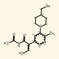 CC(=O)NC(=O)/C(=C\N)c1cc(N2CCC(CO)CC2)c(C)nn1